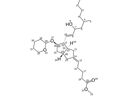 CCCCC(C)CC(O)C=C[C@@H]1[C@H]2CC(=CCCCC(=O)OC)C[C@@H]2C[C@H]1OC1CCCCO1